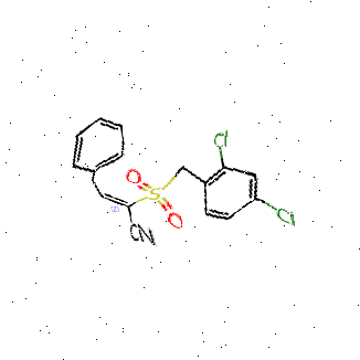 N#C/C(=C/c1ccccc1)S(=O)(=O)Cc1ccc(Cl)cc1Cl